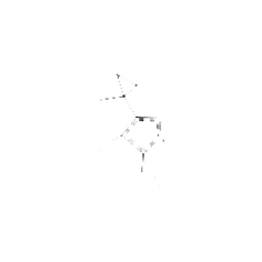 CC1(c2onc(C(=O)O)c2C(F)(F)F)CC1